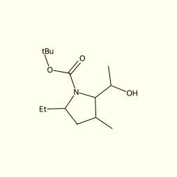 CCC1CC(C)C(C(C)O)N1C(=O)OC(C)(C)C